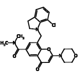 CN(C)C(=O)c1cc(CN2CCc3cccc(Cl)c32)c2oc(N3CCOCC3)cc(=O)c2c1